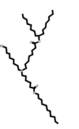 CCCCCCCCCCCOC(=O)CCCCCN(CCCCCCCCO)CCCCCCCC(=O)OC(CCCCCCCC)CCCCCCCC